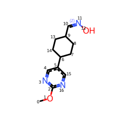 COc1ncc(C2CCC(/C=N\O)CC2)cn1